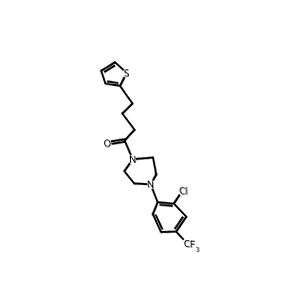 O=C(CCCc1cccs1)N1CCN(c2ccc(C(F)(F)F)cc2Cl)CC1